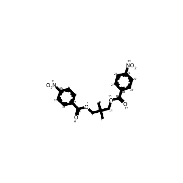 CC(C)(COC(=O)c1ccc([N+](=O)[O-])cc1)COC(=O)c1ccc([N+](=O)[O-])cc1